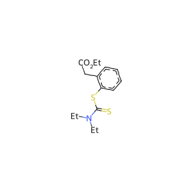 CCOC(=O)Cc1ccccc1SC(=S)N(CC)CC